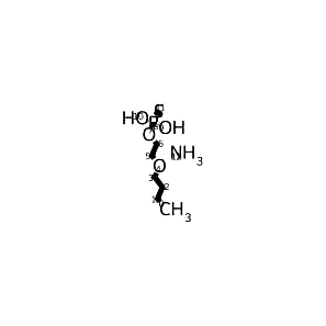 CCCCOCCOP(O)(O)=S.N